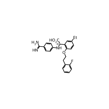 CCc1ccc(OCCc2ccccc2F)c([C@@H](Nc2ccc(C(=N)N)cc2)C(=O)O)c1